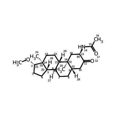 CO[C@H]1CC[C@H]2[C@@H]3CC[C@H]4CC(=O)[C@H](NC(C)=O)C[C@]4(C)[C@H]3CC[C@]12C